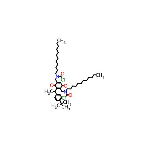 CCCCCCCCCCCCN(CC1=CC(=O)C(CN(CCCCCCCCCCCC)C(=O)Cl)=C(C(C)c2ccc(C(C)(C)C)cc2)C1=O)C(=O)Cl